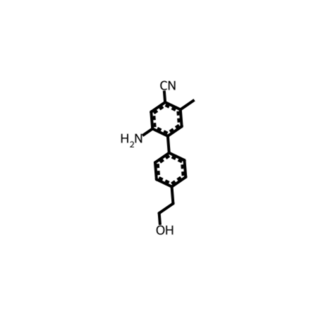 Cc1cc(-c2ccc(CCO)cc2)c(N)cc1C#N